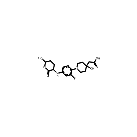 O=C(O)CC1(O)CCN(c2ncc(NC3CCC(O)NC3=O)cc2F)CC1